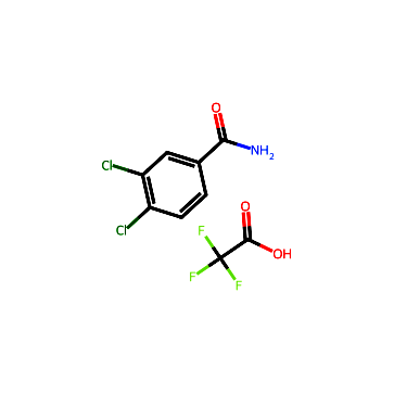 NC(=O)c1ccc(Cl)c(Cl)c1.O=C(O)C(F)(F)F